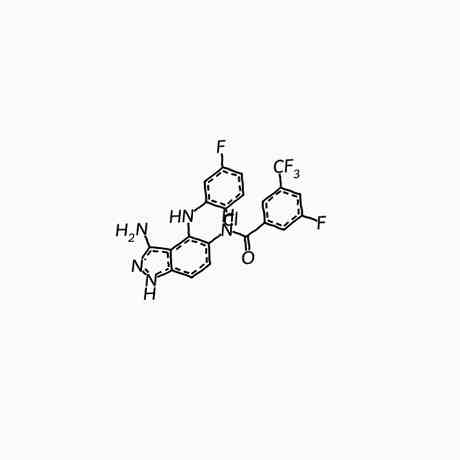 Nc1n[nH]c2ccc(NC(=O)c3cc(F)cc(C(F)(F)F)c3)c(Nc3cc(F)ccc3Cl)c12